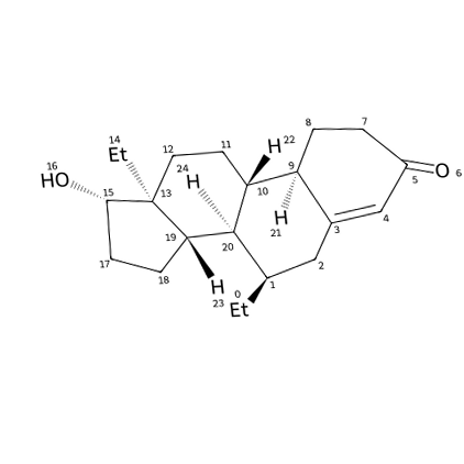 CC[C@@H]1CC2=CC(=O)CC[C@@H]2[C@H]2CC[C@]3(CC)[C@@H](O)CC[C@H]3[C@H]12